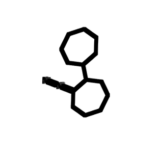 [N-]=[N+]=C1CCCCCC1C1CCCCCC1